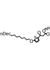 CCCCCCCCCCCCCCCCCCOc1ccc(C(=O)CC(=O)OCCC)s1